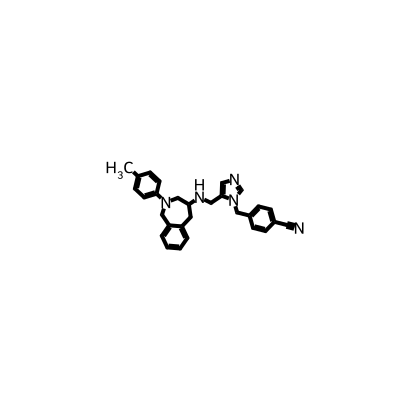 Cc1ccc(N2Cc3ccccc3CC(NCc3cncn3Cc3ccc(C#N)cc3)C2)cc1